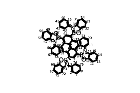 c1ccc(N2B(c3cc(B4Oc5ccccc5N4c4ccccc4)c4ccc5c(B6Oc7ccccc7N6c6ccccc6)cc(B6Oc7ccccc7N6c6ccccc6)c6ccc3c4c65)Oc3ccccc32)cc1